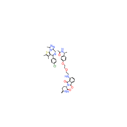 C=C1CCC(N2C(=O)c3cccc(NCCOCCOc4ccc([C@H](C)NC(=O)C[C@@H]5N=C(c6ccc(Cl)cc6)c6c(sc(C)c6C)-n6c(C)nnc65)cc4)c3C2=O)C(=O)N1